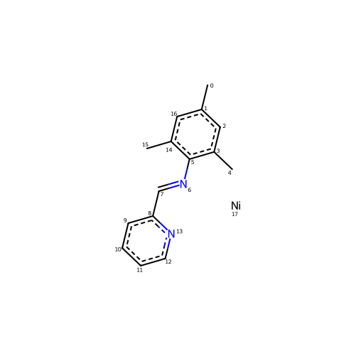 Cc1cc(C)c(N=Cc2ccccn2)c(C)c1.[Ni]